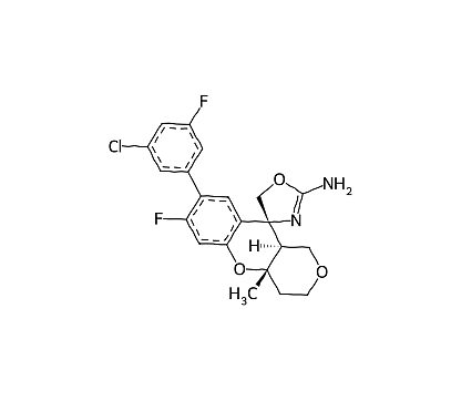 C[C@]12CCOC[C@@H]1[C@]1(COC(N)=N1)c1cc(-c3cc(F)cc(Cl)c3)c(F)cc1O2